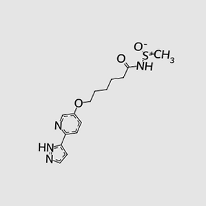 C[S+]([O-])NC(=O)CCCCCOc1ccc(-c2ccn[nH]2)nc1